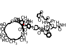 CO[C@H]1/C=C/O[C@@]2(C)Oc3c(C)c(O)c4c(=O)c(c5oc6cc(N7CCC(NC(=O)[C@H](Cc8ccccc8)NC(=O)[C@H](CCCNC(N)=O)NC(=O)[C@@H](NC(=O)CCN8C(=O)C=CC8=O)C(C)C)CC7)cc(O)c6nc-5c4c3C2=O)NC(=O)/C(C)=C\C=C\[C@H](C)[C@H](O)[C@@H](C)[C@@H](O)[C@@H](C)[C@H](OC(C)=O)[C@@H]1C